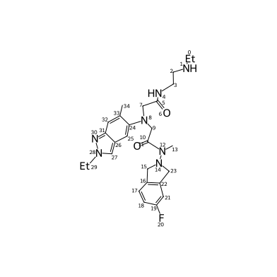 CCNCCNC(=O)CN(CC(=O)N(C)N1Cc2ccc(F)cc2C1)c1cc2cn(CC)nc2cc1C